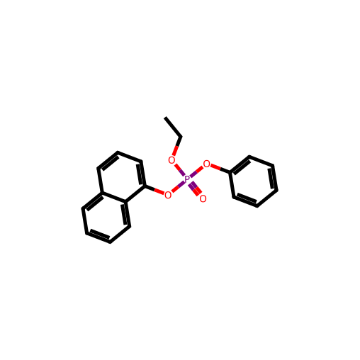 CCOP(=O)(Oc1ccccc1)Oc1cccc2ccccc12